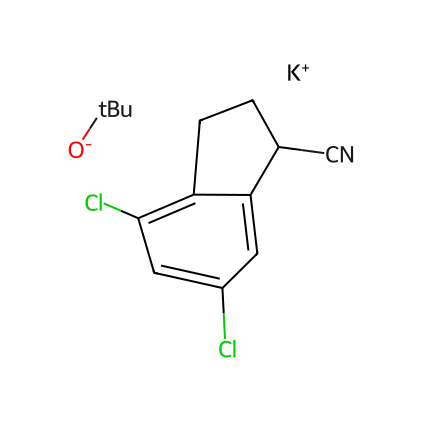 CC(C)(C)[O-].N#CC1CCc2c(Cl)cc(Cl)cc21.[K+]